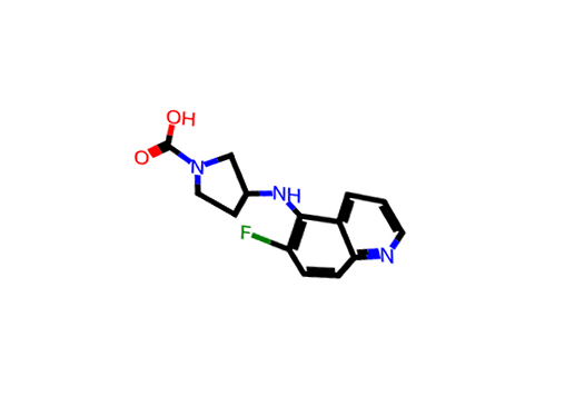 O=C(O)N1CCC(Nc2c(F)ccc3ncccc23)C1